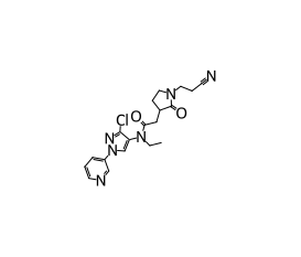 CCN(C(=O)CC1CCN(CCC#N)C1=O)c1cn(-c2cccnc2)nc1Cl